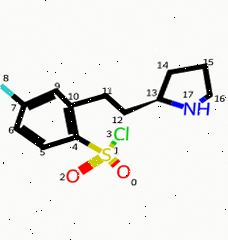 O=S(=O)(Cl)c1ccc(F)cc1CC[C@H]1CCCN1